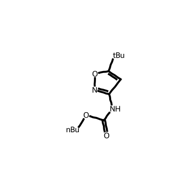 CCCCOC(=O)Nc1cc(C(C)(C)C)on1